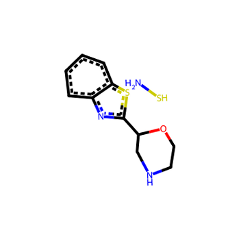 NS.c1ccc2sc(C3CNCCO3)nc2c1